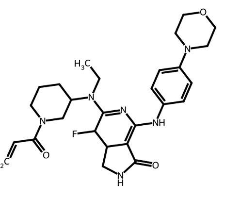 C=CC(=O)N1CCCC(N(CC)C2=NC(Nc3ccc(N4CCOCC4)cc3)=C3C(=O)NCC3C2F)C1